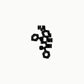 Bc1cnc(NC(=S)NC(=O)c2ccccc2)c(Oc2ccccc2)c1